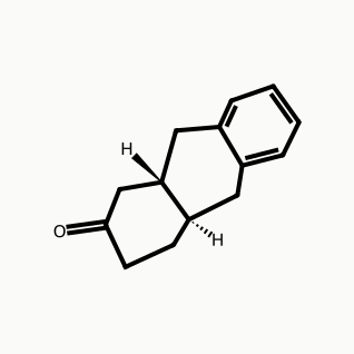 O=C1CC[C@@H]2Cc3ccccc3C[C@H]2C1